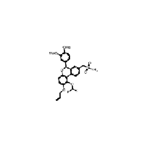 C=CCOc1ccc2c(c1OC(F)F)-c1ccc(CS(N)(=O)=O)cc1C(c1ccc(OC)c(OC)c1)O2